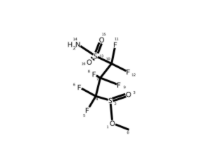 COS(=O)C(F)(F)C(F)(F)C(F)(F)S(N)(=O)=O